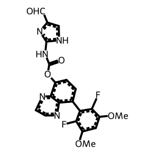 COc1cc(OC)c(F)c(-c2ccc(OC(=O)Nc3nc(C=O)c[nH]3)c3nccnc23)c1F